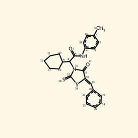 Cc1ccc(NC(=O)C(C2CCCCC2)N2C(=O)/C(=C/c3ccccc3)SC2=S)cc1